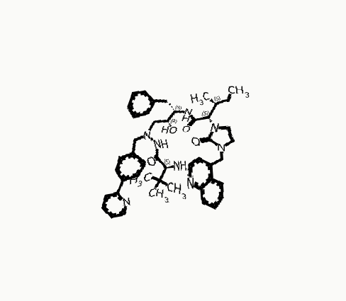 CC[C@H](C)[C@@H](C(=O)N[C@@H](Cc1ccccc1)[C@H](O)CN(Cc1ccc(-c2ccccn2)cc1)NC(=O)[C@@H](N)C(C)(C)C)N1CCN(Cc2ccnc3ccccc23)C1=O